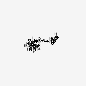 CCC[C@H](NC(=O)[C@@H]1C2CCC[C@H]2CN1C(=O)[C@@H](NC(=O)[C@@H](NC(=O)c1cnc(C(=O)NCCOCCOCCNc2cccc3c2C(=O)N(C2CCC(=O)NC2=O)C3)cn1)C1CCCCC1)C(C)(C)C)C(=O)C(=O)NC1CC1